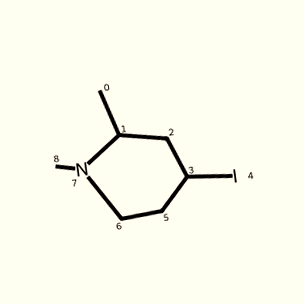 CC1CC(I)CCN1C